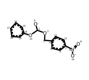 [O]C(OCc1ccc([N+](=O)[O-])cc1)Oc1ccccc1